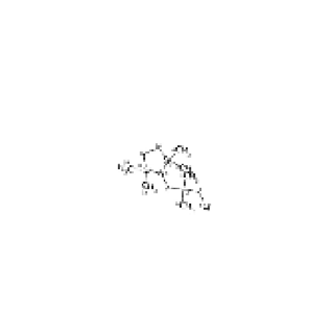 CC(C)(CCl)CN1[Si](C)(C)CC[Si]1(C)C